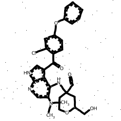 CN(C)c1cnc2[nH]cc(C(=O)c3ccc(Oc4ccccc4)cc3Cl)c2c1NC1(C=O)CCOC(CO)C1